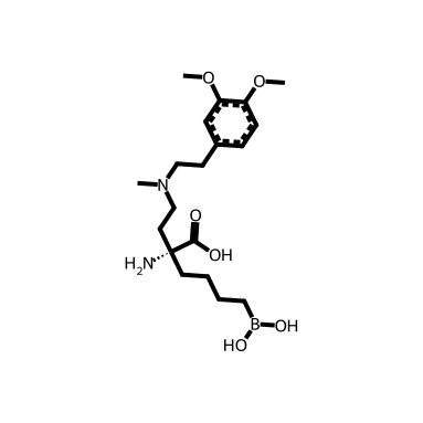 COc1ccc(CCN(C)CC[C@](N)(CCCCB(O)O)C(=O)O)cc1OC